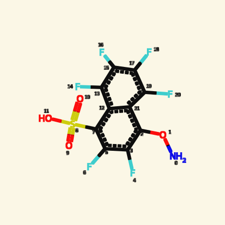 NOc1c(F)c(F)c(S(=O)(=O)O)c2c(F)c(F)c(F)c(F)c12